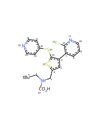 CC(C)(C)CN(Cc1cc(-c2cccnc2F)c(Sc2ccncc2)s1)C(=O)O